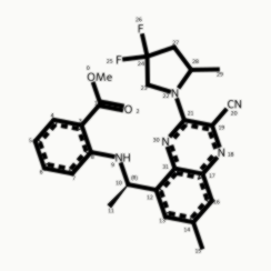 COC(=O)c1ccccc1N[C@H](C)c1cc(C)cc2nc(C#N)c(N3CC(F)(F)CC3C)nc12